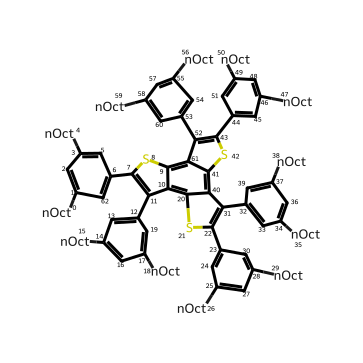 CCCCCCCCc1cc(CCCCCCCC)cc(-c2sc3c(c2-c2cc(CCCCCCCC)cc(CCCCCCCC)c2)c2sc(-c4cc(CCCCCCCC)cc(CCCCCCCC)c4)c(-c4cc(CCCCCCCC)cc(CCCCCCCC)c4)c2c2sc(-c4cc(CCCCCCCC)cc(CCCCCCCC)c4)c(-c4cc(CCCCCCCC)cc(CCCCCCCC)c4)c32)c1